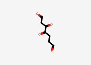 O=[C]CCC(=O)C(=O)C[C]=O